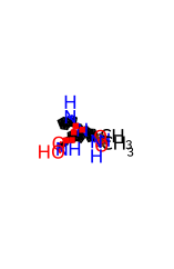 CN(C)S(=O)(=O)Nc1ccc(CN(CCc2c[nH]c3ccccc23)C2CCc3cc(C=CC(=O)NO)ccc32)cc1